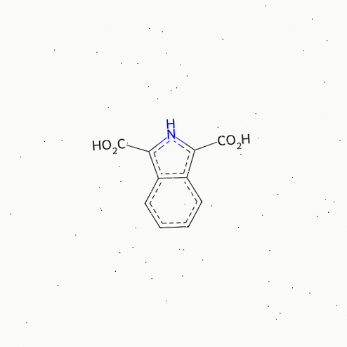 O=C(O)c1[nH]c(C(=O)O)c2ccccc12